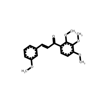 COc1cccc(/C=C/C(=O)c2ccc(OC)c(OC)c2OC)c1